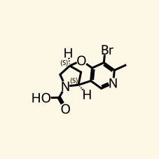 Cc1ncc2c(c1Br)O[C@H]1C[C@@H]2N(C(=O)O)C1